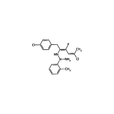 C/C(Cl)=C\C(F)=C(\Cc1ccc(Cl)cc1)NN(N)c1ccccc1C